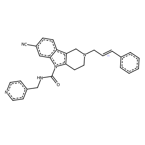 N#Cc1ccc2c3c(n(C(=O)NCc4ccncc4)c2c1)CCN(C/C=C/c1ccccc1)C3